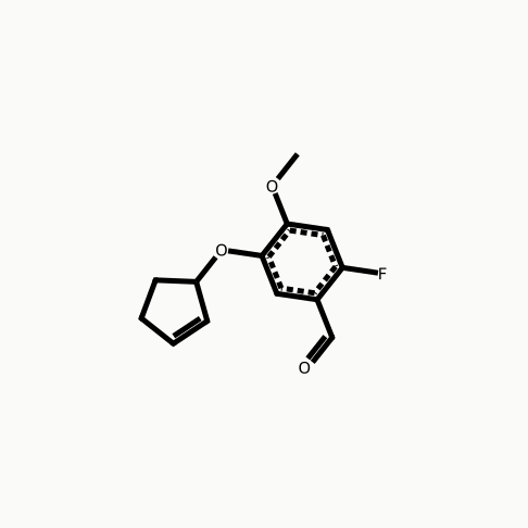 COc1cc(F)c(C=O)cc1OC1C=CCC1